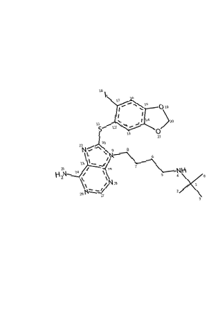 CC(C)(C)NCCCCn1c(Sc2cc3c(cc2I)OCO3)nc2c(N)ncnc21